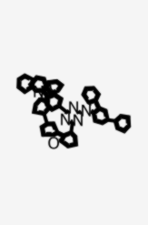 c1ccc(-c2ccc3c(c2)c2ccccc2n3-c2nc(-c3ccc4c(c3)oc3ccccc34)nc(-c3cccc4oc5ccc(-c6ccc7c(c6)c6ccccc6n7-c6ccccc6)cc5c34)n2)cc1